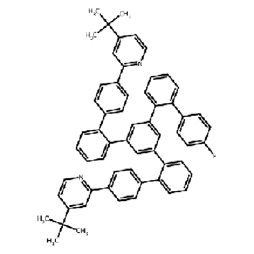 CC(C)(C)c1ccnc(-c2ccc(-c3ccccc3-c3cc(-c4ccccc4-c4ccc(F)cc4)cc(-c4ccccc4-c4ccc(-c5cc(C(C)(C)C)ccn5)cc4)c3)cc2)c1